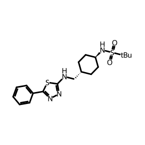 CC(C)(C)S(=O)(=O)N[C@H]1CC[C@H](CNc2nnc(-c3ccccc3)s2)CC1